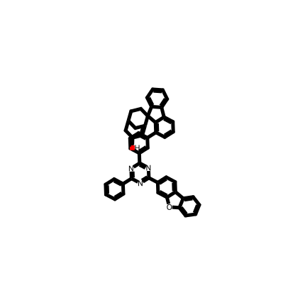 CC1C=C2CC(CCC23c2ccccc2-c2cccc(-c4cccc(-c5nc(-c6ccccc6)nc(-c6ccc7c(c6)oc6ccccc67)n5)c4)c23)C1